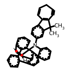 CC1(C)C2=C(C=CCC#C2)c2ccc(N(c3ccccc3)C3CCC4c5cccc6c5-c5ccccc5-c5cccc-6c5[C@H]4C3)cc21